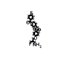 NC/C(=C\F)COc1ccc(S(=O)(=O)CC2CCN(C(=O)c3ccc(F)cc3)CC2)cc1